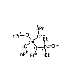 CCCO[Si](OCCC)(OCCC)C(CC)P(=O)(CC)CC